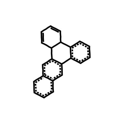 C1=CC2c3ccccc3-c3cc4ccccc4cc3C2C=C1